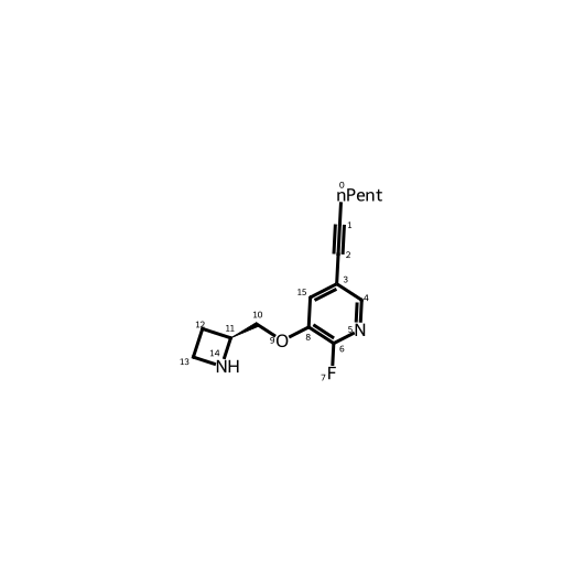 CCCCCC#Cc1cnc(F)c(OC[C@@H]2CCN2)c1